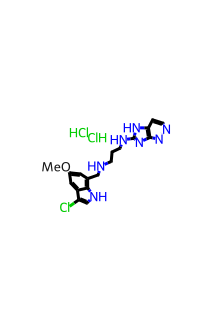 COc1cc(CNCCCNc2nc3nnccc3[nH]2)c2[nH]cc(Cl)c2c1.Cl.Cl